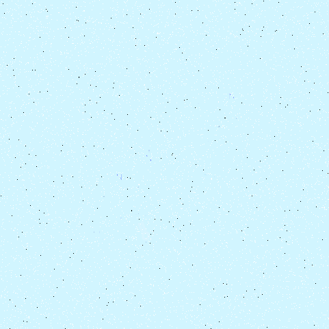 CN1Cc2ccc(-c3nc4c(cc3F)c(=O)c(C(=O)O)cn4CCF)cc2C1